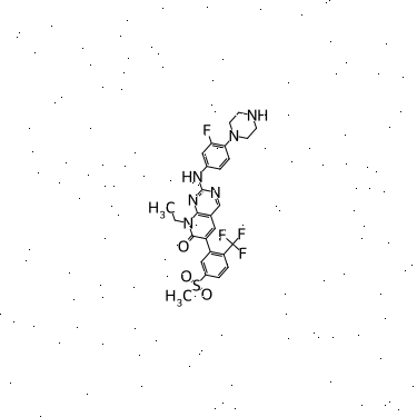 CCn1c(=O)c(-c2cc(S(C)(=O)=O)ccc2C(F)(F)F)cc2cnc(Nc3ccc(N4CCNCC4)c(F)c3)nc21